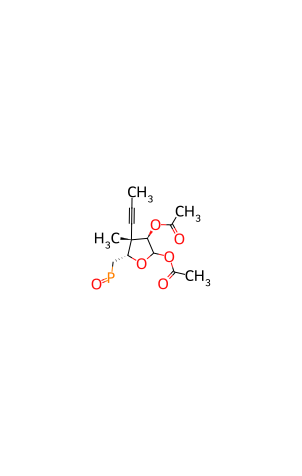 CC#C[C@@]1(C)[C@@H](CP=O)OC(OC(C)=O)[C@@H]1OC(C)=O